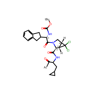 CC(=O)C(=O)C(CC1CC1)NC(=O)[C@@H]1[C@@H]2[C@H](CN1C(=O)[C@@H](NC(=O)OC(C)(C)C)C1Cc3ccccc3C1)C2(Cl)Cl